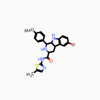 COc1ccc(C2NC(C(=O)Nc3ncc(C)s3)CC3c4cc(Br)ccc4NC32)cc1